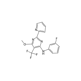 COc1nc(-c2ccccn2)nc(Nc2cccc(F)c2)c1C(F)(F)F